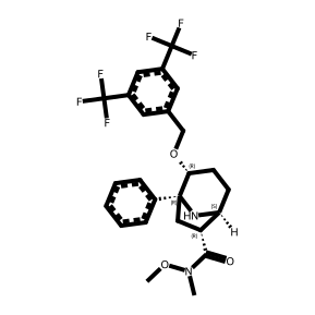 CON(C)C(=O)[C@@H]1C[C@]2(c3ccccc3)N[C@H]1CC[C@H]2OCc1cc(C(F)(F)F)cc(C(F)(F)F)c1